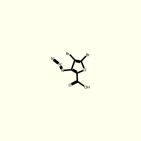 [N-]=[N+]=Nc1c(C(=O)O)oc(Br)c1Br